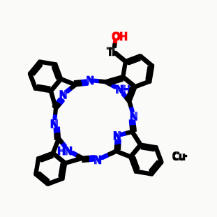 [Cu].[OH][Ti][c]1cccc2c3nc4nc(nc5[nH]c(nc6nc(nc([nH]3)c12)-c1ccccc1-6)c1ccccc51)-c1ccccc1-4